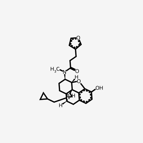 CN(C(=O)CCc1ccoc1)[C@@H]1CC[C@@]2(O)[C@H]3Cc4ccc(O)c5c4[C@@]2(CCN3CC2CC2)[C@H]1O5